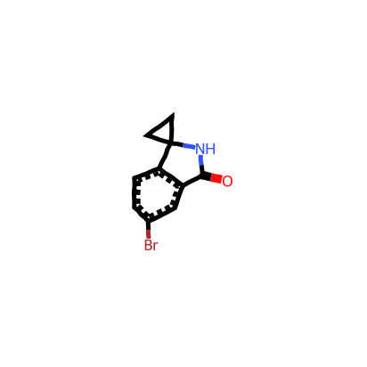 O=C1NC2(CC2)c2ccc(Br)cc21